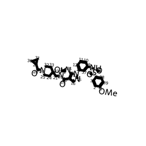 COc1ccc(S(=O)(=O)Nc2cccc(-n3ncc4c(=O)n(CC5(O)CCN(C(=O)C6CC6)CC5)cnc43)c2)cc1